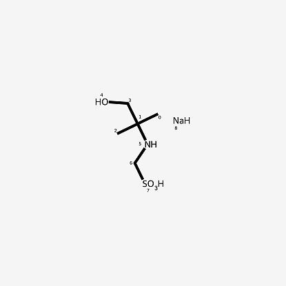 CC(C)(CO)NCS(=O)(=O)O.[NaH]